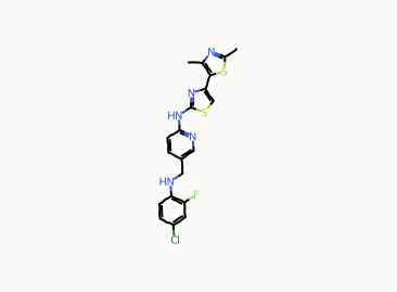 Cc1nc(C)c(-c2csc(Nc3ccc(CNc4ccc(Cl)cc4F)cn3)n2)s1